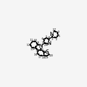 c1ccc(-c2ccc(-n3c4ccccc4c4ccc5ccsc5c43)cn2)nc1